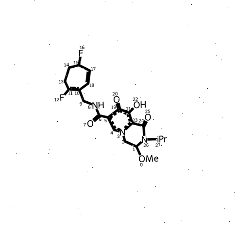 COC1Cn2cc(C(=O)NCC3=C(F)CCC(F)C=C3)c(=O)c(O)c2C(=O)N1C(C)C